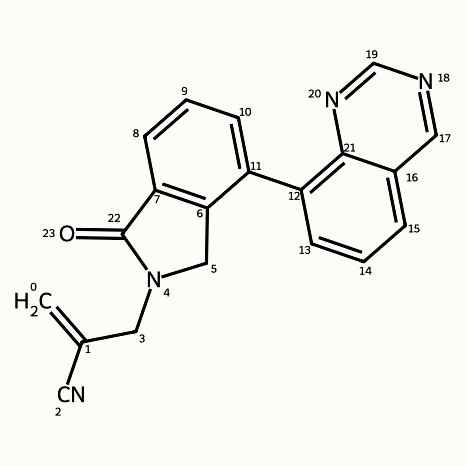 C=C(C#N)CN1Cc2c(cccc2-c2cccc3cncnc23)C1=O